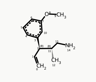 C=C[C@@H](c1cccc(OC)c1)[C@@H](C)CN